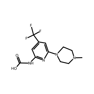 CN1CCN(c2cc(C(F)(F)F)cc(NC(=O)O)n2)CC1